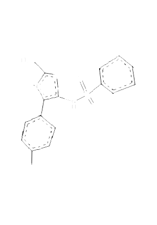 Cc1nc(-c2ccc(F)cc2)c(NS(=O)(=O)c2ccccc2)o1